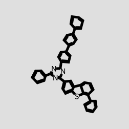 c1ccc(-c2ccc(-c3ccc(-c4nc(-c5ccccc5)nc(-c5ccc6sc7c(-c8ccccc8)cccc7c6c5)n4)cc3)cc2)cc1